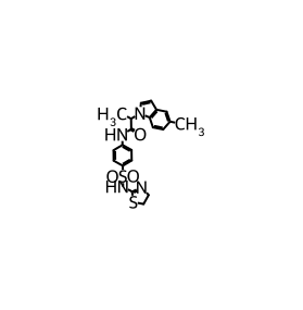 Cc1ccc2c(ccn2C(C)C(=O)Nc2ccc(S(=O)(=O)NC3=NCCS3)cc2)c1